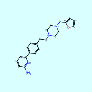 Nc1cccc(-c2ccc(CCN3CCN([CH]c4ccco4)CC3)cc2)n1